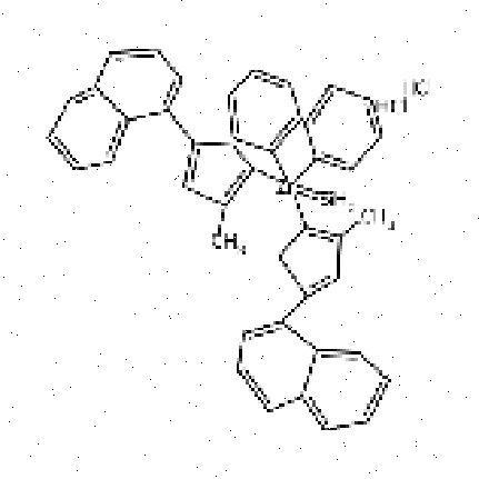 CC1=[C]([Zr](=[SiH2])([C]2=C(C)C=C(c3cccc4ccccc34)C2)([c]2ccccc2)[c]2ccccc2)CC(c2cccc3ccccc23)=C1.Cl.Cl